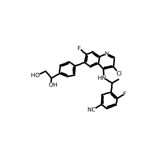 CC(Nc1c(Cl)cnc2cc(F)c(-c3ccc(C(O)CO)cc3)cc12)c1cc(C#N)ccc1F